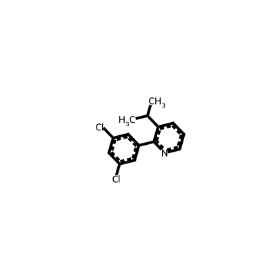 CC(C)c1cccnc1-c1cc(Cl)cc(Cl)c1